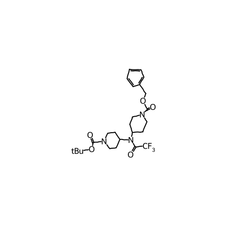 CC(C)(C)OC(=O)N1CCC(N(C(=O)C(F)(F)F)C2CCN(C(=O)OCc3ccccc3)CC2)CC1